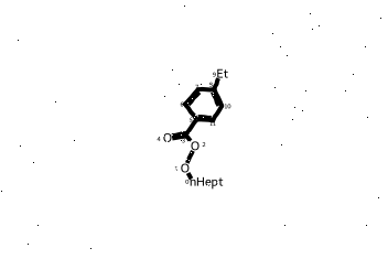 [CH2]CCCCCCOOC(=O)c1ccc(CC)cc1